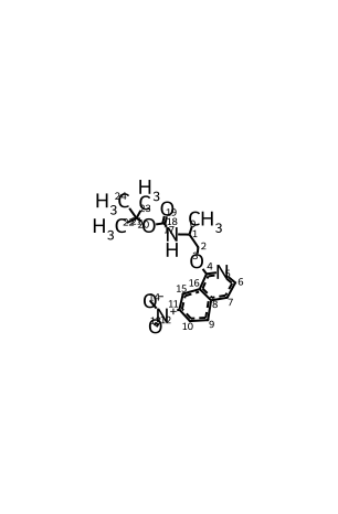 CC(COc1nccc2ccc([N+](=O)[O-])cc12)NC(=O)OC(C)(C)C